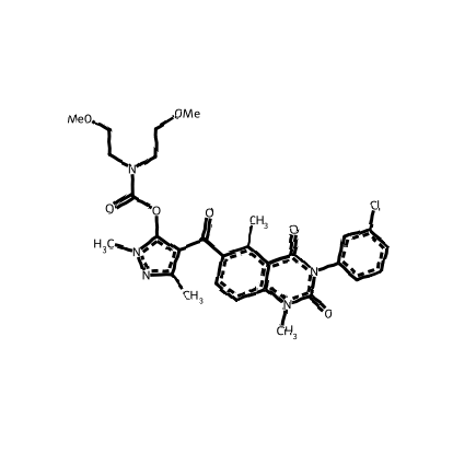 COCCN(CCOC)C(=O)Oc1c(C(=O)c2ccc3c(c2C)c(=O)n(-c2cccc(Cl)c2)c(=O)n3C)c(C)nn1C